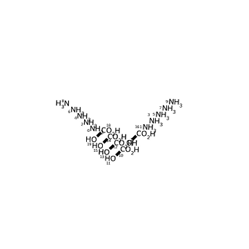 N.N.N.N.N.N.N.N.N.N.O=C(O)O.O=C(O)O.O=C(O)O.O=C(O)O.O=C(O)O